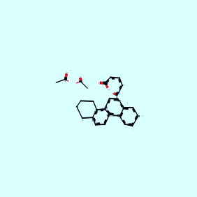 CC(=O)OC(C)=O.O=c1cccco1.c1ccc2c(c1)ccc1c3c(ccc12)CCCC3